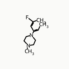 C/C=C(\C=C(/C)F)N1CCN(C)CC1